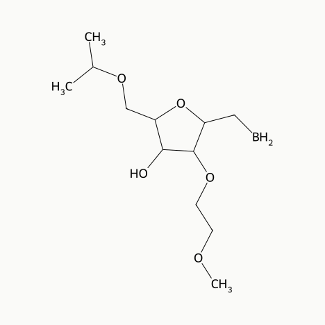 BCC1OC(COC(C)C)C(O)C1OCCOC